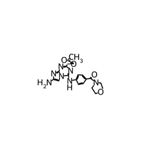 CS(=O)(=O)c1nc(Nc2ccc(C(=O)N3CCOCC3)cc2)n2cc(N)nc2n1